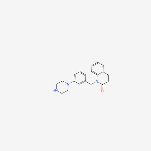 O=C1CCc2ccccc2N1Cc1cccc(N2CCNCC2)c1